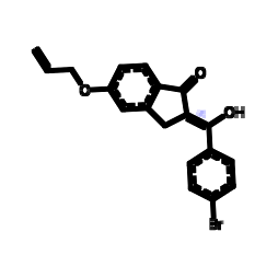 C=CCOc1ccc2c(c1)C/C(=C(/O)c1ccc(Br)cc1)C2=O